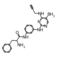 Bc1cnc(Nc2cccc(NC(=O)C(N)Cc3ccccc3)c2)nc1NCC#C